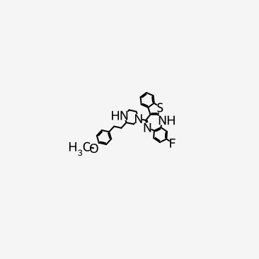 COc1ccc(CCC2CN(C3=Nc4ccc(F)cc4Nc4sc5ccccc5c43)CCN2)cc1